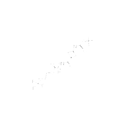 CC(C)(C)OC(=O)NC12CC(C(=O)NNC(=O)OCCOC(F)(F)F)(C1)C2